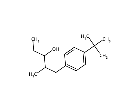 CCC(O)C(C)Cc1ccc(C(C)(C)C)cc1